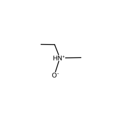 CC[NH+](C)[O-]